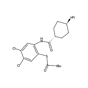 CCC[C@H]1CC[C@H](C(=O)Nc2cc(Cl)c(Cl)cc2SC(=O)C(C)(C)C)CC1